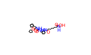 O=C(CCCCCCC(=O)Nc1cccc(CNC(=O)NC(Cc2ccccc2)C(=O)OC2CCCC2)c1)NO